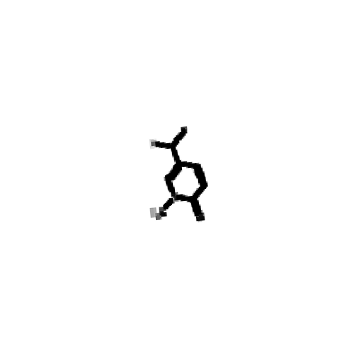 Cn1cc(C(F)F)ccc1=O